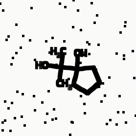 CC(C)(O)C1(O)CCCC1